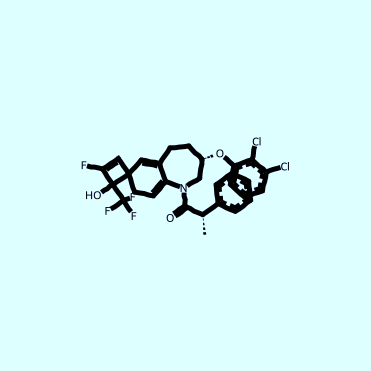 C[C@H](C(=O)N1C[C@@H](Oc2cccc(Cl)c2Cl)CCC2=CC3(C=C(F)C3(O)C(F)(F)F)CC=C21)c1ccccc1